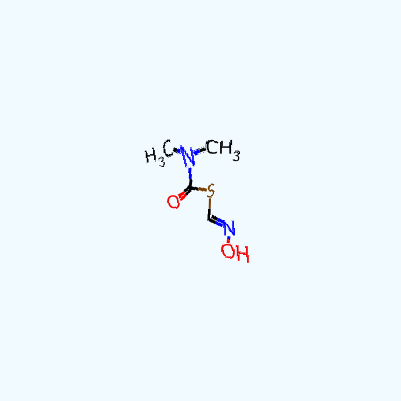 CN(C)C(=O)SC=NO